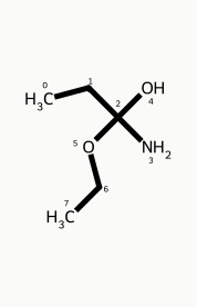 C[CH]C(N)(O)OCC